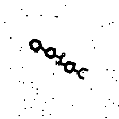 CCN(CC)c1ccc(NC(=O)c2ccc(-c3ccccn3)cc2)cc1